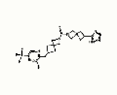 O=C(N1CC2(CC(Cc3ncc(C(F)(F)F)cc3F)C2)C1)N1CC2(CC(c3ncn[nH]3)C2)C1